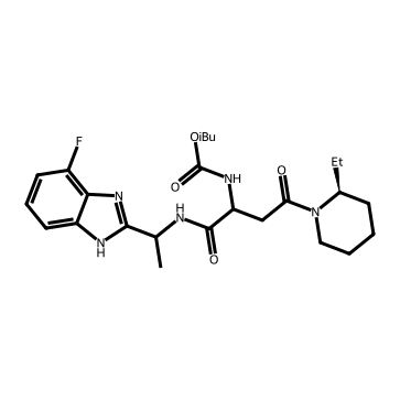 CC[C@H]1CCCCN1C(=O)CC(NC(=O)OCC(C)C)C(=O)NC(C)c1nc2c(F)cccc2[nH]1